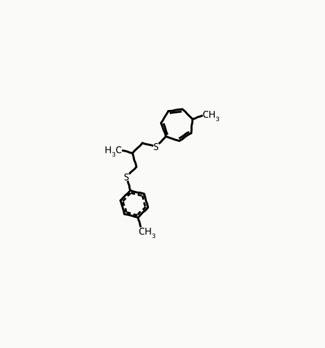 Cc1ccc(SCC(C)CSC2=CC=CC(C)C=C2)cc1